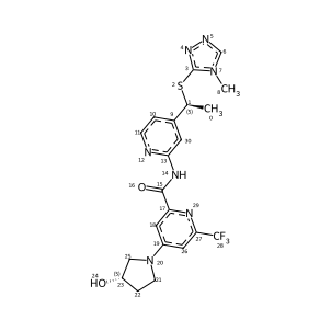 C[C@H](Sc1nncn1C)c1ccnc(NC(=O)c2cc(N3CC[C@H](O)C3)cc(C(F)(F)F)n2)c1